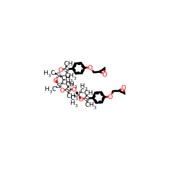 C[Si](C)(O[Si](C)(C)O[Si](C)(C)O[Si](C)(C)c1ccc(OCC2CO2)cc1)O[Si](C)(C)O[Si](C)(C)c1ccc(OCC2CO2)cc1